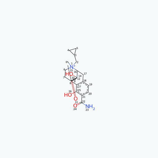 C[N+]1(CC2CC2)CCC23CC(=O)CCC2(O)C1Cc1ccc(C(N)=O)c(O)c13